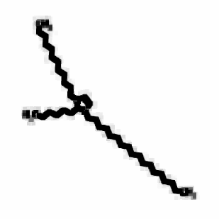 CCCCCCCCCCCCCCCCCCN1C=CN(CCCCCCCCCCCC)C1CCCCCC